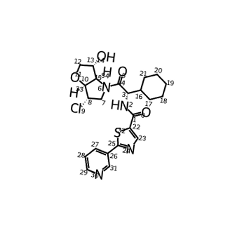 O=C(N[C@H](C(=O)N1C[C@H](Cl)[C@H]2OC[C@H](O)[C@H]21)C1CCCCC1)c1cnc(-c2cccnc2)s1